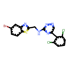 Clc1cccc(Cl)c1-c1cnnc(NCc2nc3cc(Br)ccc3s2)n1